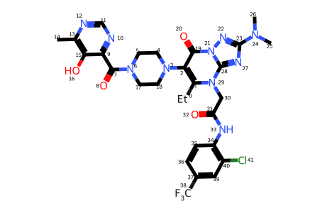 CCc1c(N2CCN(C(=O)c3ncnc(C)c3O)CC2)c(=O)n2nc(N(C)C)nc2n1CC(=O)Nc1ccc(C(F)(F)F)cc1Cl